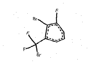 Fc1cccc(C(F)(F)Br)c1Br